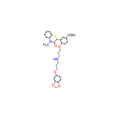 COc1ccc(OCCCNCCCOc2ccc3c(c2)OCO3)c(C2Sc3ccccc3N(C)C2=O)c1